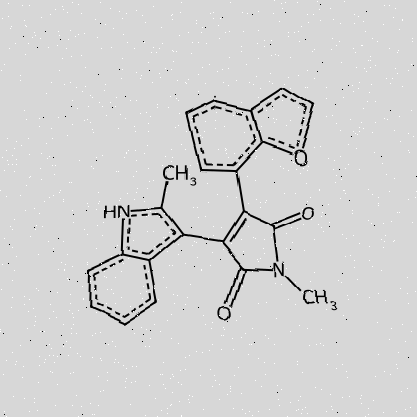 Cc1[nH]c2ccccc2c1C1=C(c2cc[c]c3ccoc23)C(=O)N(C)C1=O